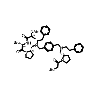 CN[C@@H](C)C(=O)N[C@H](C(=O)N1CCC[C@H]1CN(CCc1ccccc1)Cc1ccc(CN(CCc2ccccc2)C[C@@H]2CCCN2C(=O)CC(C)(C)C)cc1)C(C)(C)C